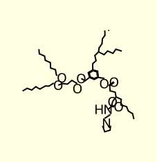 [CH2]CCCCC(CCCCC)CCCc1cc(COC(=O)CCC(CCCCCC)OC(=O)NCCN2CCCC2)cc(COC(=O)CCC(OCCCCCCCC)OCCCCCCCC)c1